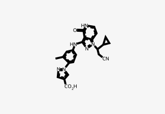 Cc1cc(Nc2nn(C(CC#N)C3CC3)c3cc[nH]c(=O)c23)ccc1-n1cc(C(=O)O)cn1